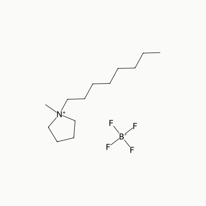 CCCCCCCC[N+]1(C)CCCC1.F[B-](F)(F)F